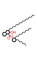 CCCCCCCCCCCCCCCCc1cc2ccccc2c(C(=O)Oc2cccc(CCCCCC)c2CCCCCCCCCC)c1O